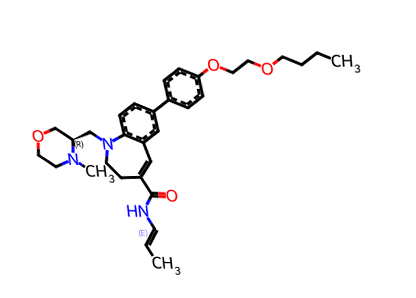 C/C=C/NC(=O)C1=Cc2cc(-c3ccc(OCCOCCCC)cc3)ccc2N(C[C@@H]2COCCN2C)CC1